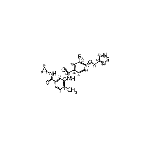 Cc1ccc(C(=O)NC2CC2)cc1NC(=O)c1ccc(OCc2cnsn2)c(F)c1